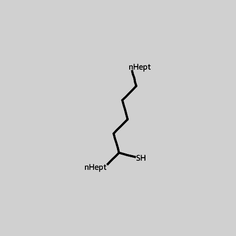 CCCCCCCCCCCC(S)CCCCCCC